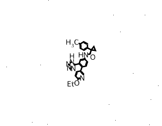 CCOc1ccc(-c2ccc(NC(=O)C3(c4ccc(C)cc4)CC3)cc2-c2nnn[nH]2)cn1